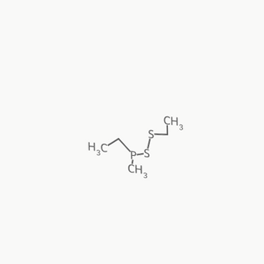 CCSSP(C)CC